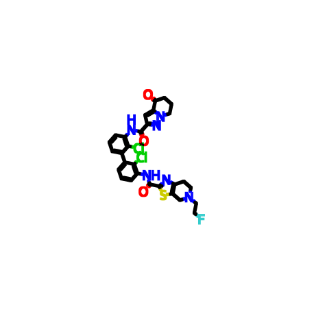 O=C(Nc1cccc(-c2cccc(NC(=O)c3nc4c(s3)CN(CCF)CC4)c2Cl)c1Cl)c1cc2n(n1)CCCC2=O